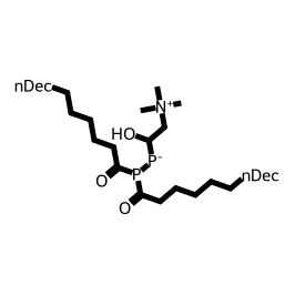 CCCCCCCCCCCCCCCC(=O)P([P-]C(O)C[N+](C)(C)C)C(=O)CCCCCCCCCCCCCCC